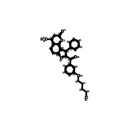 Cc1cc(=O)oc2c1ccc1oc(C(=O)c3cccc(OCCCCCl)c3)c(-c3ccccc3)c12